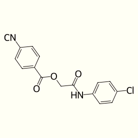 [C-]#[N+]c1ccc(C(=O)OCC(=O)Nc2ccc(Cl)cc2)cc1